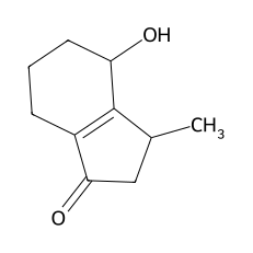 CC1CC(=O)C2=C1C(O)CCC2